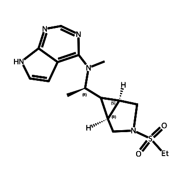 CCS(=O)(=O)N1C[C@@H]2C([C@@H](C)N(C)c3ncnc4[nH]ccc34)[C@@H]2C1